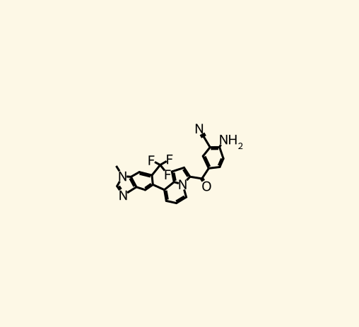 Cn1cnc2cc(-c3cccn4c(C(=O)c5ccc(N)c(C#N)c5)ccc34)c(C(F)(F)F)cc21